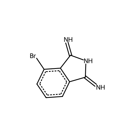 N=C1NC(=N)c2c(Br)cccc21